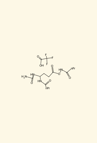 CCCC(=O)NOC(=O)CCC(NC(N)=O)NC(=O)CCC.O=C(O)C(F)(F)F